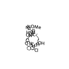 COc1nn(C)cc1C(=O)NS1(=O)=NC(=O)c2ccc3c(c2)N(C[C@@H]2CC[C@H]2[C@H](O)/C=C/C[C@H](C)C1)C[C@@]1(CCCc2cc(Cl)ccc21)CO3